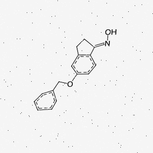 ON=C1CCc2cc(OCc3ccccc3)ccc21